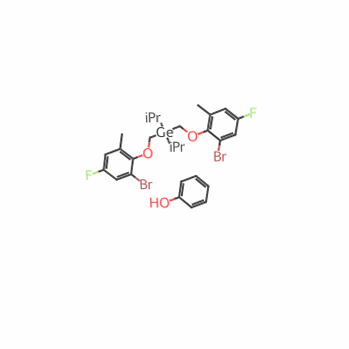 Cc1cc(F)cc(Br)c1O[CH2][Ge]([CH2]Oc1c(C)cc(F)cc1Br)([CH](C)C)[CH](C)C.Oc1ccccc1